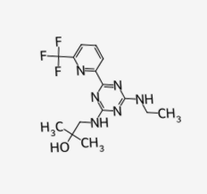 CCNc1nc(NCC(C)(C)O)nc(-c2cccc(C(F)(F)F)n2)n1